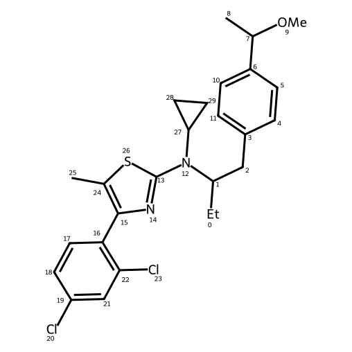 CCC(Cc1ccc(C(C)OC)cc1)N(c1nc(-c2ccc(Cl)cc2Cl)c(C)s1)C1CC1